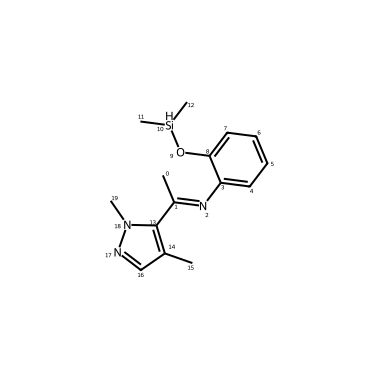 CC(=Nc1ccccc1O[SiH](C)C)c1c(C)cnn1C